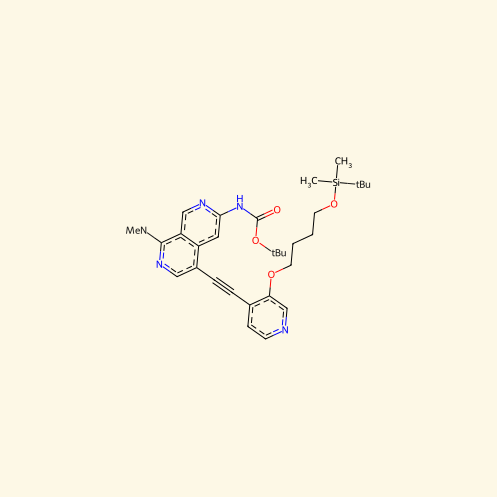 CNc1ncc(C#Cc2ccncc2OCCCCO[Si](C)(C)C(C)(C)C)c2cc(NC(=O)OC(C)(C)C)ncc12